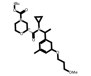 COCCCOC1C=C(C)C=C(C(C)N(C(=O)[C@H]2CN(C(=O)OC(C)(C)C)CCO2)C2CC2)C1